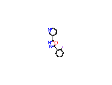 Ic1ccccc1-c1nnc(-c2cccnc2)o1